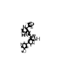 COc1cncc(-c2cnc3[nH]nc(-c4cc5c(-c6ccoc6)nccc5[nH]4)c3c2)c1